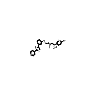 O[C@@H](CNCCOc1cccc(-c2csc(-c3ccncc3)n2)c1)c1ccc(Cl)nc1